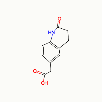 O=C(O)Cc1ccc2c(c1)CCC(=O)N2